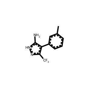 Cc1cccc(-c2c(C(F)(F)F)n[nH]c2N)c1